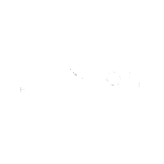 CCCCCCCCC1(C#N)CCC(c2ccc(C(C)=O)cc2)CC1